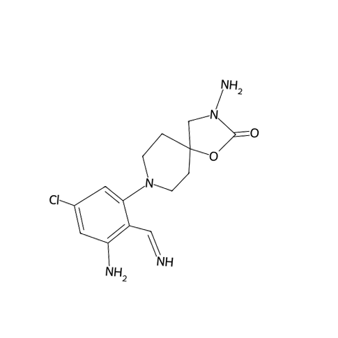 N=Cc1c(N)cc(Cl)cc1N1CCC2(CC1)CN(N)C(=O)O2